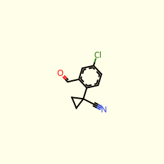 N#CC1(c2ccc(Cl)cc2C=O)CC1